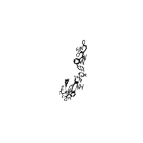 Cn1nc(C2CCC(=O)NC2=O)c2cccc(N3CCN(C[C@H]4CCN(c5ncc(Cl)c(Nc6ccc7c(c6)c6c(c(=O)n7C)OCC(F)(F)[C@H](C7CC7)N6)n5)CC4(C)C)CC3)c21